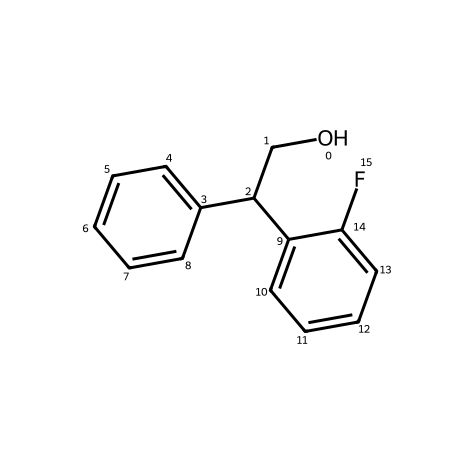 OCC(c1ccccc1)c1ccccc1F